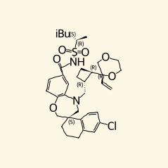 C=C[C@@]1([C@@H]2CC[C@H]2CN2C[C@@]3(CCCc4cc(Cl)ccc43)COc3ccc(C(=O)NS(=O)(=O)[C@H](C)[C@@H](C)CC)cc32)COCCO1